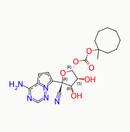 CC1(OC(=O)O[C@H]2O[C@@](C#N)(c3ccc4c(N)ncnn34)[C@H](O)[C@@H]2O)CCCCCCC1